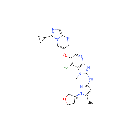 Cn1c(Nc2cc(C(C)(C)C)n([C@H]3CCOC3)n2)nc2ncc(Oc3cnc4cnc(C5CC5)n4c3)c(Cl)c21